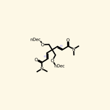 CCCCCCCCCCOCC(/C=C/C(=O)N(C)C)(/C=C/C(=O)N(C)C)COCCCCCCCCCC